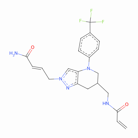 C=CC(=O)NCC1Cc2nn(CC=CC(N)=O)cc2N(c2ccc(C(F)(F)F)cc2)C1